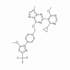 COc1ncnc(C2CC2)c1-c1nc(OCc2ccc(-n3nc(C(F)(F)F)cc3OC)cc2)c2ncn(C)c2n1